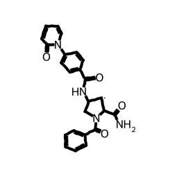 NC(=O)C1[CH]C(NC(=O)c2ccc(-n3ccccc3=O)cc2)CN1C(=O)c1ccccc1